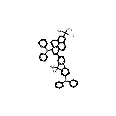 CC(C)(C)c1cc2ccc3c(-c4ccc5c(c4)C(C)(C)c4cc(N(c6ccccc6)c6ccccc6)ccc4-5)cc(N(c4ccccc4)c4ccccc4)c4ccc(c1)c2c34